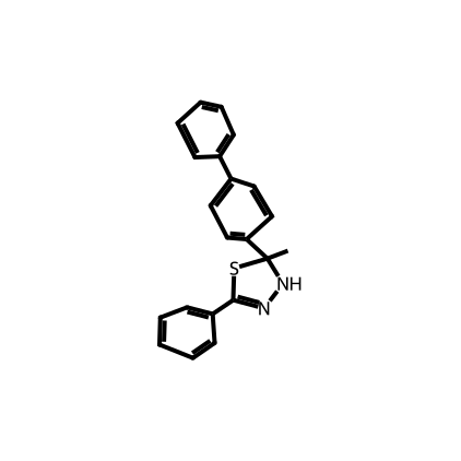 CC1(c2ccc(-c3ccccc3)cc2)NN=C(c2ccccc2)S1